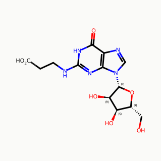 O=C(O)CCNc1nc2c(ncn2[C@@H]2O[C@H](CO)[C@@H](O)[C@H]2O)c(=O)[nH]1